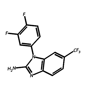 Nc1nc2ccc(C(F)(F)F)cc2n1-c1ccc(F)c(F)c1